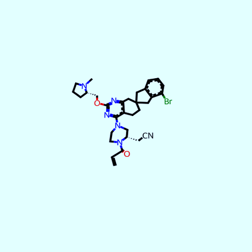 C=CC(=O)N1CCN(c2nc(OC[C@@H]3CCCN3C)nc3c2CCC2(Cc4cccc(Br)c4C2)C3)C[C@@H]1CC#N